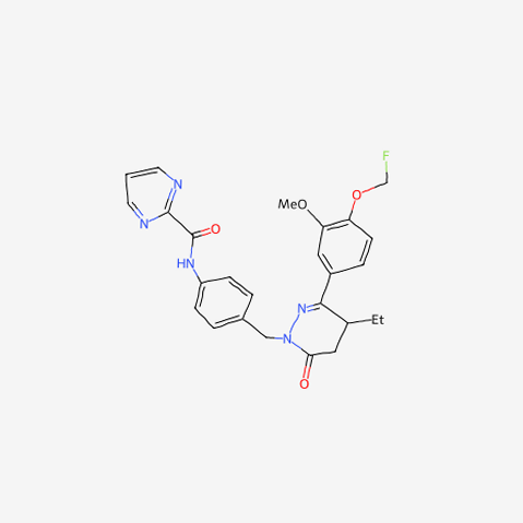 CCC1CC(=O)N(Cc2ccc(NC(=O)c3ncccn3)cc2)N=C1c1ccc(OCF)c(OC)c1